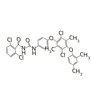 Cc1ccc(Oc2c(C)c(Cl)c(Oc3ccc(NC(=O)NC(=O)c4c(Cl)cccc4Cl)cc3)c(C)c2Cl)c(C)c1